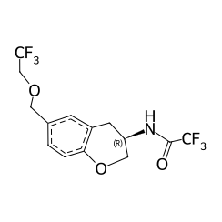 O=C(N[C@H]1COc2ccc(COCC(F)(F)F)cc2C1)C(F)(F)F